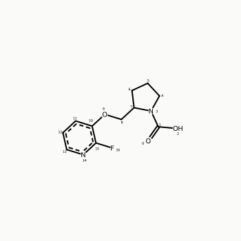 O=C(O)N1CCCC1COc1cccnc1F